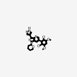 COc1cc(OC)c(Cl)c(-c2cnc3c(-c4cn[nH]c4)nn(C4CCCCO4)c3c2)c1Cl